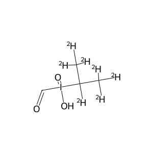 [2H]C([2H])([2H])C([2H])(C([2H])([2H])[2H])I(=O)(O)C=O